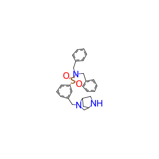 O=S(=O)(c1cccc(CN2CC3CC2CN3)c1)N(Cc1ccccc1)Cc1ccccc1